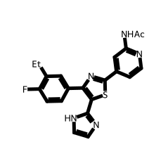 CCc1cc(-c2nc(-c3ccnc(NC(C)=O)c3)sc2-c2ncc[nH]2)ccc1F